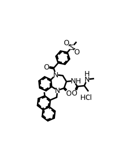 CNC(C)C(=O)NC1CN(C(=O)c2ccc(S(C)(=O)=O)cc2)c2ccccc2N(Cc2c(C)ccc3ccccc23)C1=O.Cl